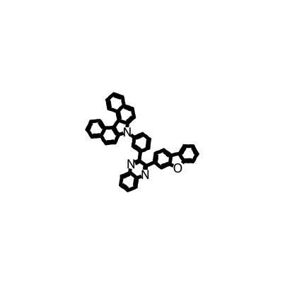 c1cc(-c2nc3ccccc3nc2-c2ccc3c(c2)oc2ccccc23)cc(-n2c3ccc4ccccc4c3c3c4ccccc4ccc32)c1